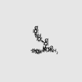 NC(=O)N1CCc2c(c(-c3ccc(Cl)c(C#Cc4ccc(CNCc5ccc(Cl)cc5)cc4)c3)nn2CCCN2CCN(C3CCC3)CC2)C1